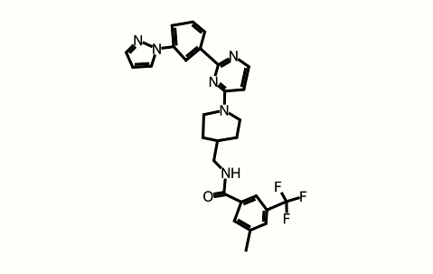 Cc1cc(C(=O)NCC2CCN(c3ccnc(-c4cccc(-n5cccn5)c4)n3)CC2)cc(C(F)(F)F)c1